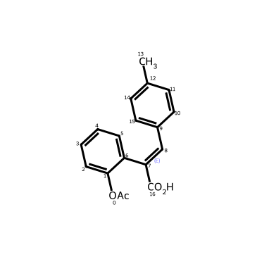 CC(=O)Oc1ccccc1/C(=C\c1ccc(C)cc1)C(=O)O